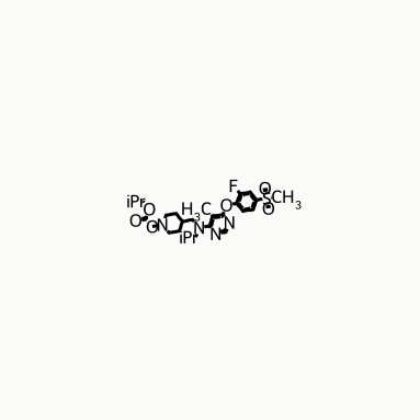 Cc1c(Oc2ccc(S(C)(=O)=O)cc2F)ncnc1N(CC1CCN(OC(=O)OC(C)C)CC1)C(C)C